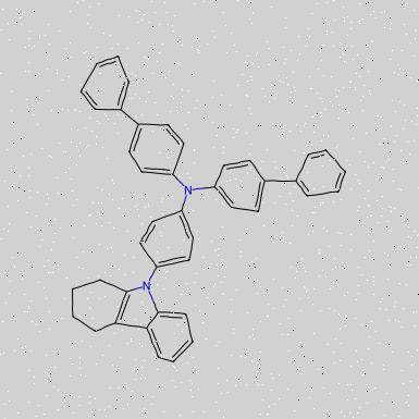 c1ccc(-c2ccc(N(c3ccc(-c4ccccc4)cc3)c3ccc(-n4c5c(c6ccccc64)CCCC5)cc3)cc2)cc1